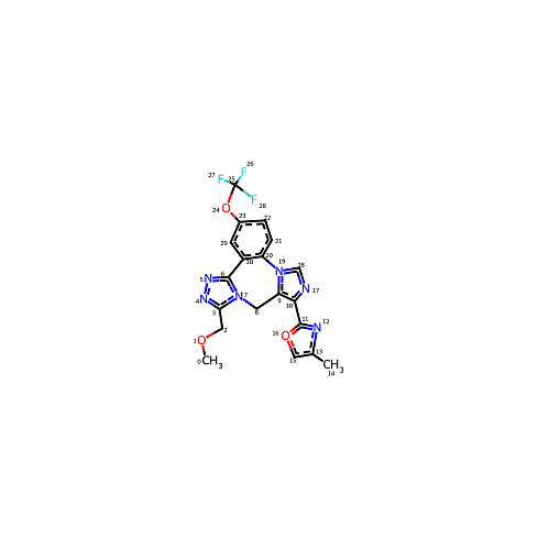 COCc1nnc2n1Cc1c(-c3nc(C)co3)ncn1-c1ccc(OC(F)(F)F)cc1-2